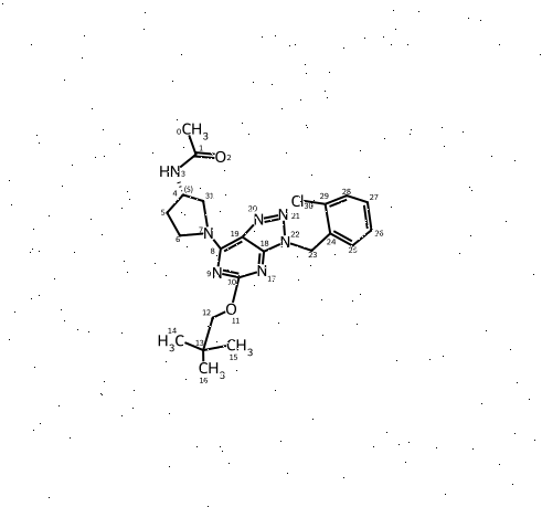 CC(=O)N[C@H]1CCN(c2nc(OCC(C)(C)C)nc3c2nnn3Cc2ccccc2Cl)C1